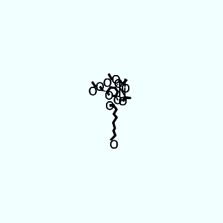 COCCCCCCCCC(=O)O[C@H]1O[C@H](COC(C)=O)[C@H](OC(C)=O)[C@H](OC(C)=O)[C@@H]1NC(C)=O